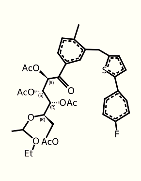 CCOC(C)O[C@H](COC(C)=O)[C@@H](OC(C)=O)[C@H](OC(C)=O)[C@@H](OC(C)=O)C(=O)c1ccc(C)c(Cc2ccc(-c3ccc(F)cc3)s2)c1